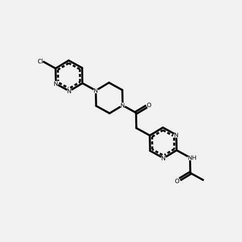 CC(=O)Nc1ncc(CC(=O)N2CCN(c3ccc(Cl)nn3)CC2)cn1